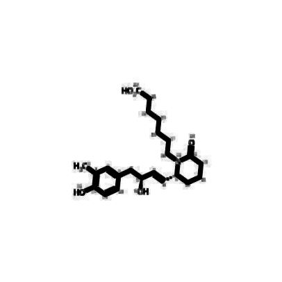 Cc1cc(C[C@H](O)/C=C/[C@H]2CCCC(=O)N2CCCCCCC(=O)O)ccc1O